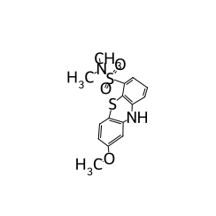 COc1ccc2c(c1)Nc1cccc(S(=O)(=O)N(C)C)c1S2